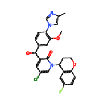 COc1cc(C(=O)c2cc(Cl)cn(C3CCOc4ccc(F)cc43)c2=O)ccc1-n1cnc(C)c1